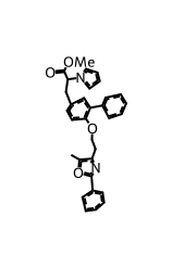 COC(=O)C(Cc1ccc(OCCc2nc(-c3ccccc3)oc2C)c(-c2ccccc2)c1)n1cccc1